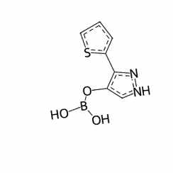 OB(O)Oc1c[nH]nc1-c1cccs1